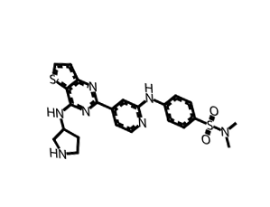 CN(C)S(=O)(=O)c1ccc(Nc2cc(-c3nc(NC4CCNC4)c4sccc4n3)ccn2)cc1